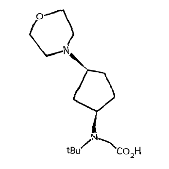 CC(C)(C)N(C(=O)O)[C@@H]1CC[C@H](N2CCOCC2)C1